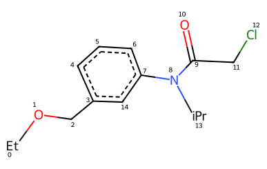 CCOCc1cccc(N(C(=O)CCl)C(C)C)c1